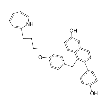 Oc1ccc(-c2ccc3cc(O)ccc3c2Cc2ccc(OCCCCC3=CC=CC=CN3)cc2)cc1